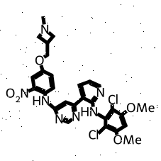 COc1cc(OC)c(Cl)c(Nc2ncccc2-c2cc(Nc3ccc(OCC4CN(C)C4)cc3[N+](=O)[O-])ncn2)c1Cl